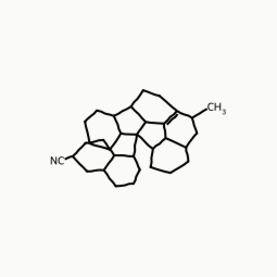 CC1CC2CCCC3C2C2=C1CCC1C4CCCCC4C3(C3CCCC4CC(C#N)CCC43)C21